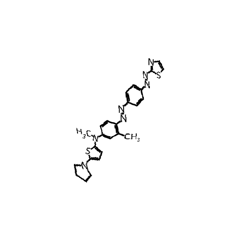 Cc1cc(N(C)c2ccc(N3CCCC3)s2)ccc1/N=N/c1ccc(/N=N/c2nccs2)cc1